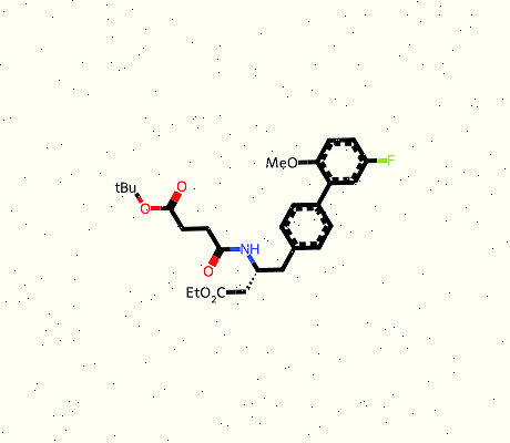 CCOC(=O)C[C@@H](Cc1ccc(-c2cc(F)ccc2OC)cc1)NC(=O)CCC(=O)OC(C)(C)C